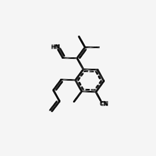 C=C/C=C\c1c(C(C=N)=C(C)C)ccc(C#N)c1C